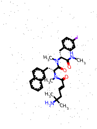 CNC(=O)[C@@H](Cc1ccc(I)cc1)N(C)C(=O)[C@@H](Cc1ccc2ccccc2c1)N(C)C(=O)/C=C/CC(C)(C)N